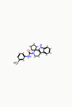 Cc1cccc(NC(=O)N2CCc3c([nH]c4ccccc34)C23CCCC3)c1